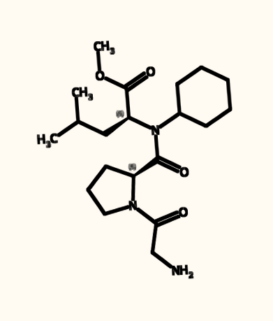 COC(=O)[C@H](CC(C)C)N(C(=O)[C@@H]1CCCN1C(=O)CN)C1CCCCC1